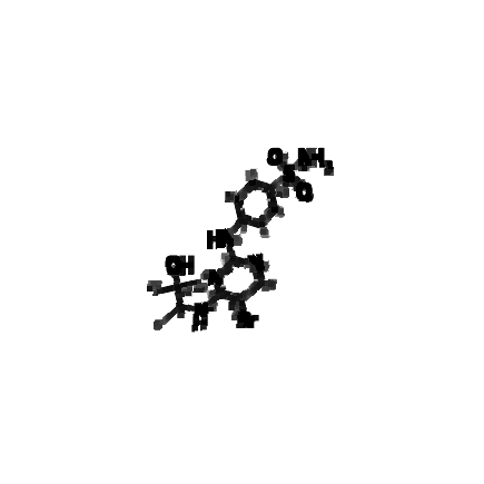 CC(Nc1nc(Nc2ccc(S(N)(=O)=O)cc2)ncc1Br)C(C)(C)O